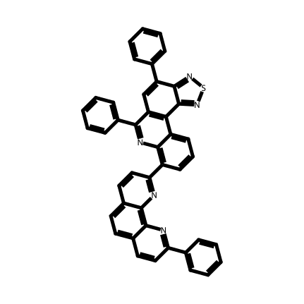 c1ccc(-c2ccc3ccc4ccc(-c5cccc6c5nc(-c5ccccc5)c5cc(-c7ccccc7)c7nsnc7c56)nc4c3n2)cc1